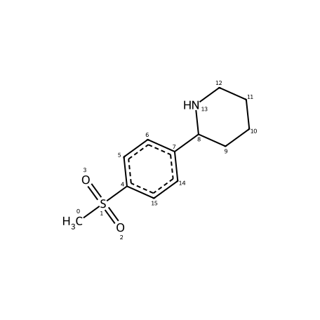 CS(=O)(=O)c1ccc(C2CCCCN2)cc1